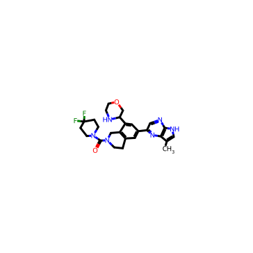 Cc1c[nH]c2ncc(-c3cc4c(c(C5COCCN5)c3)CN(C(=O)N3CCC(F)(F)CC3)CC4)nc12